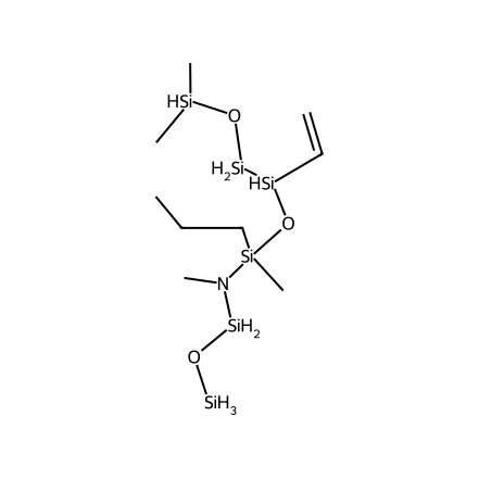 C=C[SiH](O[Si](C)(CCC)N(C)[SiH2]O[SiH3])[SiH2]O[SiH](C)C